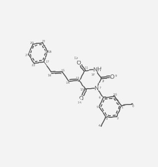 Cc1cc(C)cc(N2C(=O)NC(=O)/C(=C\C=C\c3ccccc3)C2=O)c1